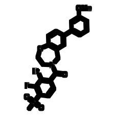 CCc1c(C(=O)N2CCOc3ccc(-c4cccc(OC)c4)cc3C2)ccc(S(C)(=O)=O)c1F